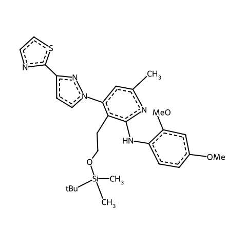 COc1ccc(Nc2nc(C)cc(-n3ccc(-c4nccs4)n3)c2CCO[Si](C)(C)C(C)(C)C)c(OC)c1